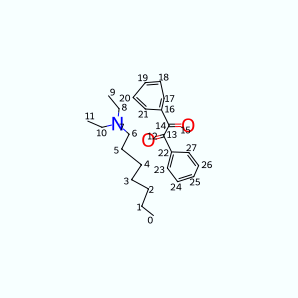 CCCCCCCN(CC)CC.O=C(C(=O)c1ccccc1)c1ccccc1